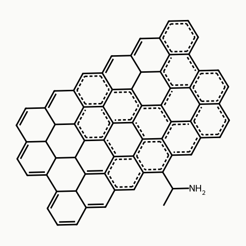 CC(N)c1c2cc3c4c5c6c7c8c9c(cc%10c%11c%12c%13c%14c%15c%16c%17c(cccc%17c%17ccc%18ccc%19cc1c(c%14c%19c%18c%17%15)c(c25)c%13c6c9%11)C=C(C=%10)C%16%12)C=C1C=CC2=CC=C5C6=CC=CC(=C3)C6C=4C7C5C2C18